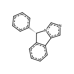 c1ccc([C@H]2c3ccccc3-c3cncn32)cc1